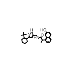 CC(C(=O)NCc1cc(C2=C(C(C)(C)C)CCCC2)n[nH]1)c1cccc2ccc(O)cc12